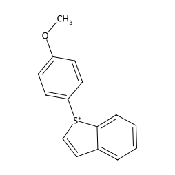 COc1ccc(-[s+]2ccc3ccccc32)cc1